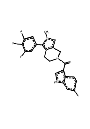 Cn1nc2c(c1-c1cc(F)c(F)c(F)c1)CCN(C(=O)c1c[nH]c3cc(F)ccc13)C2